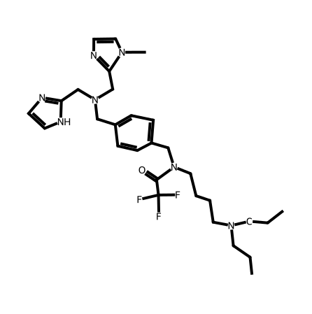 CCCN(CCC)CCCCN(Cc1ccc(CN(Cc2ncc[nH]2)Cc2nccn2C)cc1)C(=O)C(F)(F)F